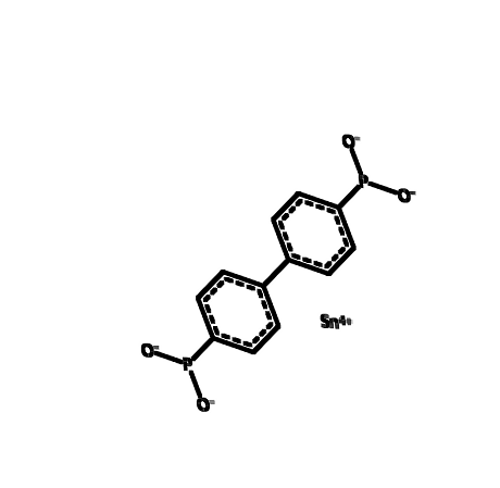 [O-]P([O-])c1ccc(-c2ccc(P([O-])[O-])cc2)cc1.[Sn+4]